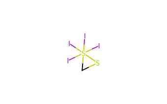 IS1(I)(I)(I)CS1